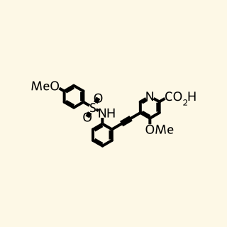 COc1ccc(S(=O)(=O)Nc2ccccc2C#Cc2cnc(C(=O)O)cc2OC)cc1